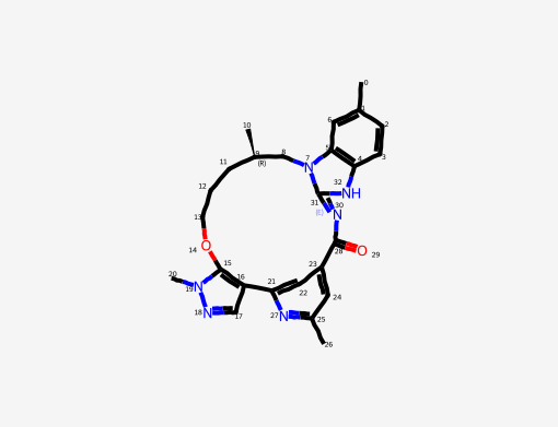 Cc1ccc2c(c1)N1C[C@H](C)CCCOc3c(cnn3C)-c3cc(cc(C)n3)C(=O)/N=C/1N2